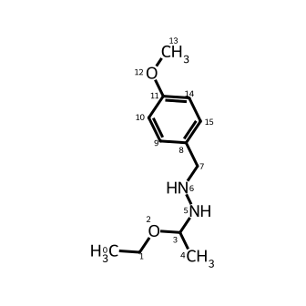 CCOC(C)NNCc1ccc(OC)cc1